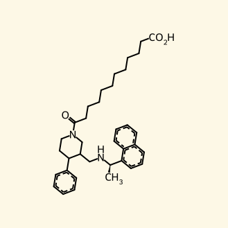 C[C@@H](NCC1CN(C(=O)CCCCCCCCCCC(=O)O)CCC1c1ccccc1)c1cccc2ccccc12